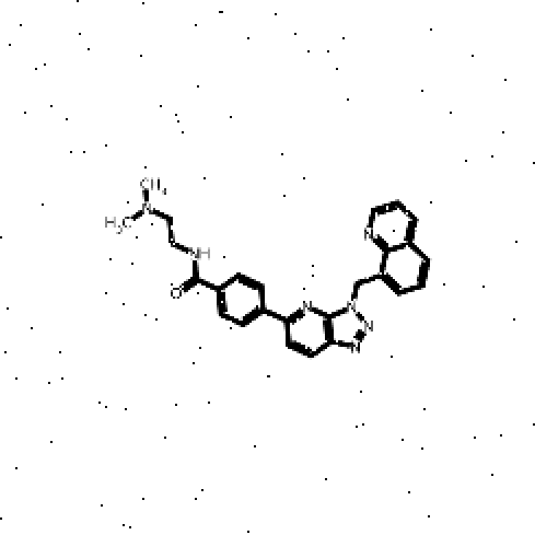 CN(C)CCNC(=O)c1ccc(-c2ccc3nnn(Cc4cccc5cccnc45)c3n2)cc1